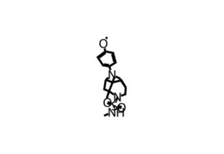 CNS(=O)(=O)N1CC2CN(c3ccc(OC)cc3)C3CC1(C)C3(C)C2